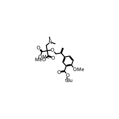 C=C(COC(CN(C)C)(C(=O)OC)C(=O)OC)c1ccc(OC)c(C(=O)OC(C)(C)C)c1